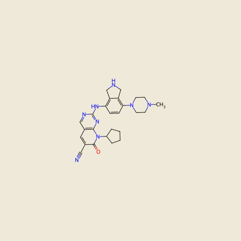 CN1CCN(c2ccc(Nc3ncc4cc(C#N)c(=O)n(C5CCCC5)c4n3)c3c2CNC3)CC1